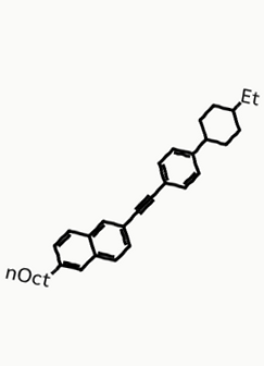 CCCCCCCCc1ccc2cc(C#Cc3ccc(C4CCC(CC)CC4)cc3)ccc2c1